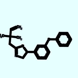 C=CC(C)(C)CC1=NCC(c2cccc(Oc3ccccc3)c2)O1